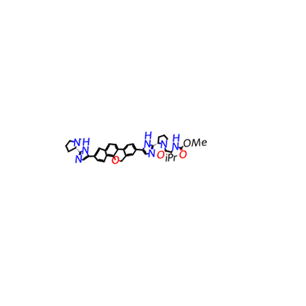 COC(=O)N[C@H](C(=O)N1CCC[C@H]1c1ncc(-c2ccc3c(c2)COc2c-3ccc3cc(-c4cnc([C@@H]5CCCN5C)[nH]4)ccc23)[nH]1)C(C)C